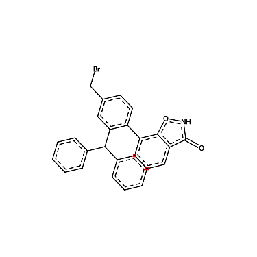 O=c1[nH]oc2c(-c3ccc(CBr)cc3C(c3ccccc3)c3ccccc3)cccc12